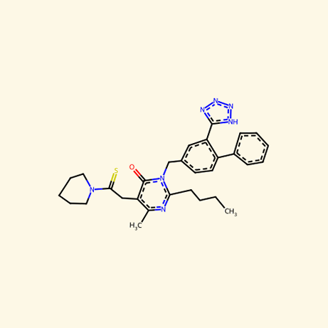 CCCCc1nc(C)c(CC(=S)N2CCCCC2)c(=O)n1Cc1ccc(-c2ccccc2)c(-c2nnn[nH]2)c1